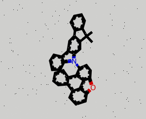 CC1(C)c2ccccc2-c2cc3c4ccccc4n(-c4ccc5oc6cccc7c8ccccc8c4c5c67)c3cc21